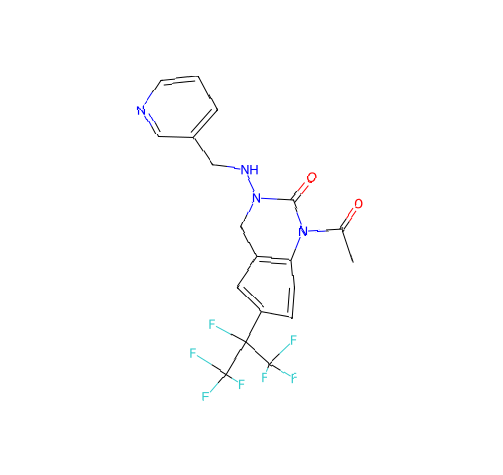 CC(=O)N1C(=O)N(NCc2cccnc2)Cc2cc(C(F)(C(F)(F)F)C(F)(F)F)ccc21